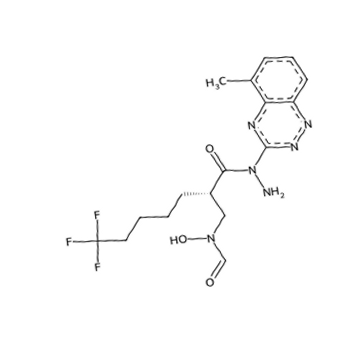 Cc1cccc2nnc(N(N)C(=O)[C@@H](CCCCC(F)(F)F)CN(O)C=O)nc12